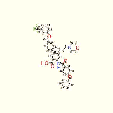 O=C(Nc1cc(CCCN2CCOCC2)c(-c2ccc(COc3cccc(C(F)(F)F)c3)cc2)cc1C(=O)O)c1ccc(Oc2ccccc2)cc1